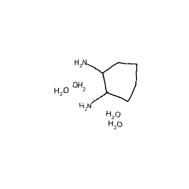 NC1CCCCC1N.O.O.O.O